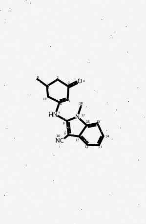 CC1CC(=O)C=C(Nc2c(C#N)c3ccccc3n2C)C1